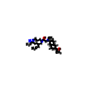 CCCCC(CC)CN(CCCN)C(=O)CN(C)c1ccc2cc(C(C)=O)ccc2c1